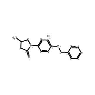 Cl.NC1CC(=O)N(c2ccc(OCc3ccccc3)cc2)C1